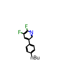 CCCCc1ccc(-c2cnc(F)c(F)c2)cc1